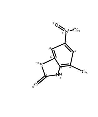 O=c1[nH]c2c(Cl)cc([N+](=O)[O-])cc2s1